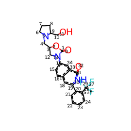 O=C1OC(CN2CCCC2CO)CN1c1ccc2cc(-c3ccccc3C(F)(F)F)[nH]c(=O)c2c1